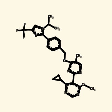 COc1ncnc(C2CC2)c1-c1ncc(C)c(OCc2ccc(-c3nc(C(F)(F)F)cn3C(C)C)cc2)n1